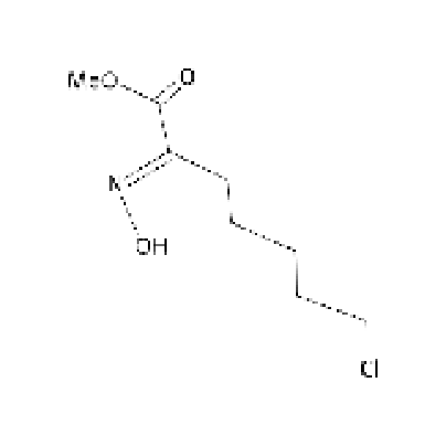 COC(=O)C(CCCCCCl)=NO